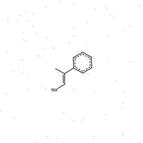 CC(=[CH][Na])c1ccccc1